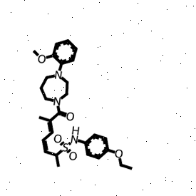 CCOc1ccc(NS(=O)(=O)C(C)/C=C\C=C(/C)C(=O)N2CCCN(c3ccccc3OC)CC2)cc1